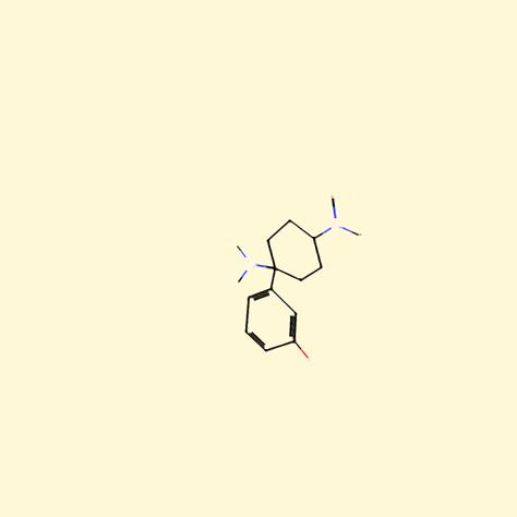 CCCCN(C)C1(c2cccc(O)c2)CCC(N(C)CC)CC1